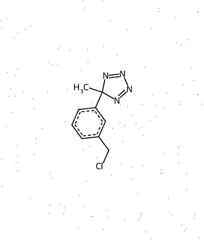 CC1(c2cccc(CCl)c2)N=NN=N1